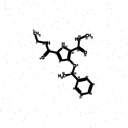 CCNC(=O)c1cc(O[C@H](C)c2cccnc2)c(C(=O)NC)[nH]1